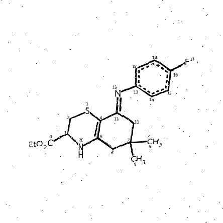 CCOC(=O)C1CSC2=C(CC(C)(C)C/C2=N\c2ccc(F)cc2)N1